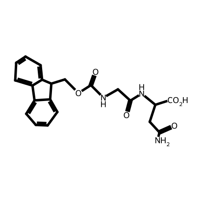 NC(=O)CC(NC(=O)CNC(=O)OCC1c2ccccc2-c2ccccc21)C(=O)O